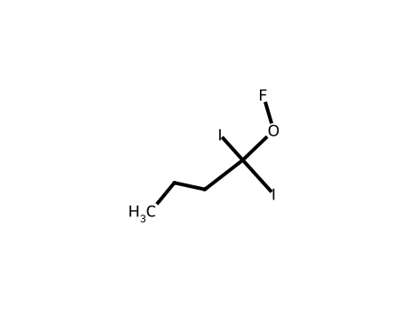 CCCC(I)(I)OF